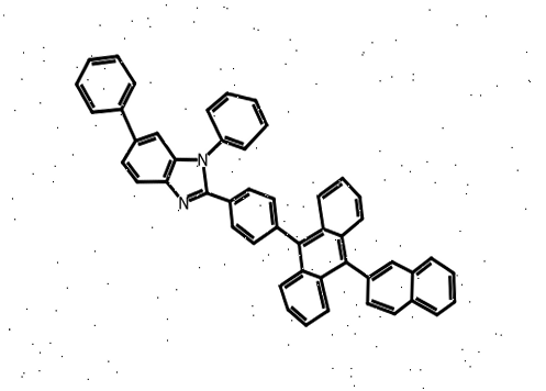 c1ccc(-c2ccc3nc(-c4ccc(-c5c6ccccc6c(-c6ccc7ccccc7c6)c6ccccc56)cc4)n(-c4ccccc4)c3c2)cc1